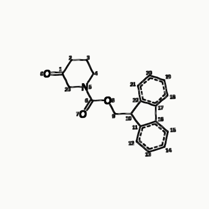 O=C1CCCN(C(=O)OCC2c3ccccc3-c3ccccc32)C1